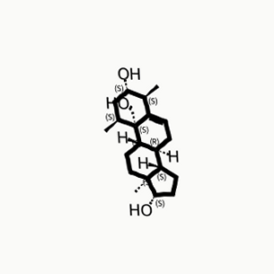 C[C@H]1C2=CC[C@H]3[C@@H]4CC[C@H](O)[C@@]4(C)CC[C@@H]3[C@@]2(CO)[C@@H](C)C[C@@H]1O